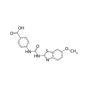 COc1ccc2nc(NC(=O)Nc3ccc(C(=O)O)cc3)sc2c1